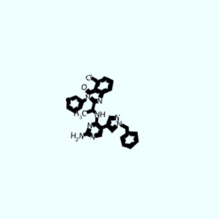 CC(Nc1nc(N)ncc1-c1cnn(Cc2ccccc2)c1)c1nc2cccc(Cl)c2c(=O)n1-c1ccccc1